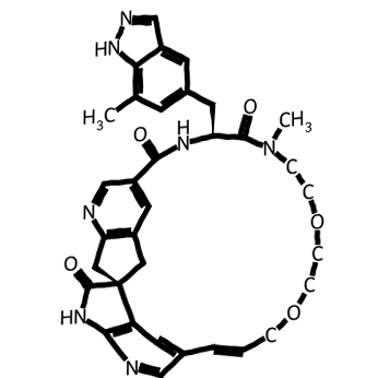 Cc1cc(C[C@@H]2NC(=O)c3cnc4c(c3)C[C@@]3(C4)C(=O)Nc4ncc(cc43)/C=C/COCCOCCN(C)C2=O)cc2cn[nH]c12